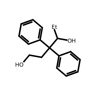 CCC(O)C(CCO)(c1ccccc1)c1ccccc1